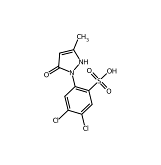 Cc1cc(=O)n(-c2cc(Cl)c(Cl)cc2S(=O)(=O)O)[nH]1